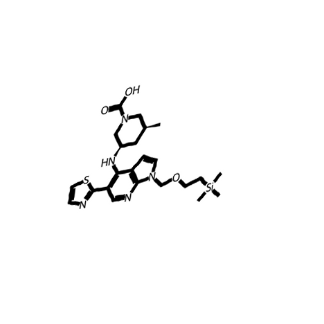 C[C@H]1C[C@@H](Nc2c(-c3nccs3)cnc3c2ccn3COCC[Si](C)(C)C)CN(C(=O)O)C1